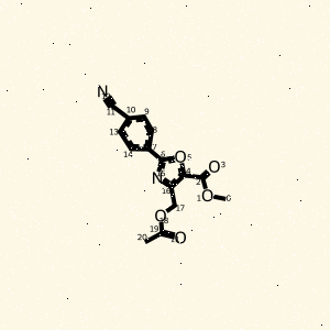 COC(=O)c1oc(-c2ccc(C#N)cc2)nc1COC(C)=O